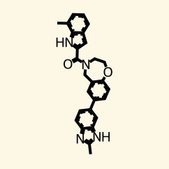 Cc1nc2ccc(-c3ccc4c(c3)CN(C(=O)c3cc5cccc(C)c5[nH]3)CCO4)cc2[nH]1